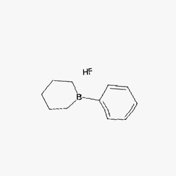 F.c1ccc(B2CCCCC2)cc1